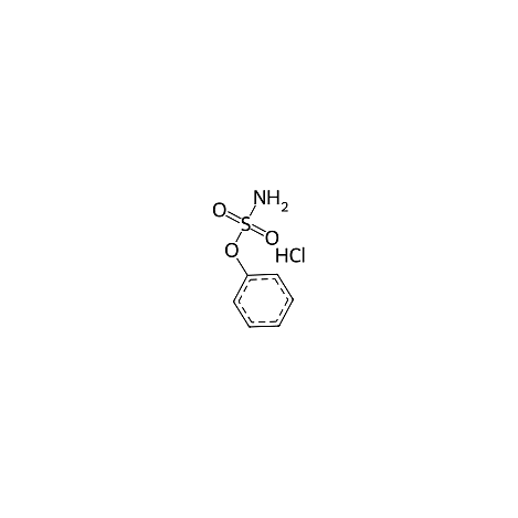 Cl.NS(=O)(=O)Oc1ccccc1